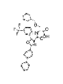 O=C(NC(COCc1ccccc1)C(=O)O)c1nc(-c2ccc(-c3ccccc3)cc2)oc1-c1cccc(C(F)(F)F)c1